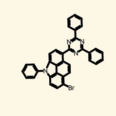 Brc1ccc2c3c1ccc1c(-c4nc(-c5ccccc5)nc(-c5ccccc5)n4)ccc(c13)n2-c1ccccc1